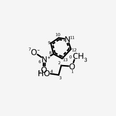 COCCO.O=[N+]([O-])c1ccncc1